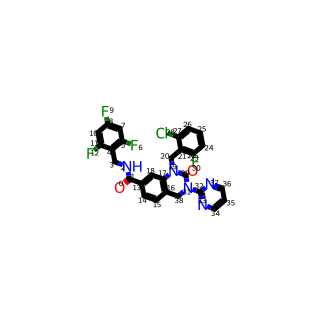 O=C(NCc1c(F)cc(F)cc1F)c1ccc2c(c1)N(Cc1c(F)cccc1Cl)C(=O)N(c1ncccn1)C2